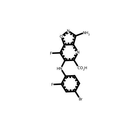 Nc1noc2c(F)c(Nc3ccc(Br)cc3F)c(C(=O)O)nc12